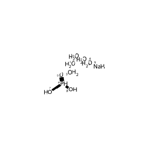 O.O.O.O.O.O=[PH](O)O.[NaH]